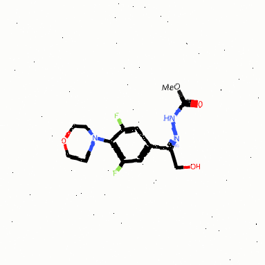 COC(=O)N/N=C(/CO)c1cc(F)c(N2CCOCC2)c(F)c1